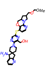 COCOCC1CC2COc3c(Sc4cnc(N5CCC6(CC5)Cc5ncccc5[C@H]6N)c(CO)n4)ccnc3N2C1